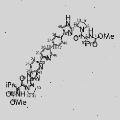 COC(=O)N[C@H](C(=O)N1CCC[C@H]1c1nc(-c2ccc(-c3ccc(-c4ccc5[nH]c([C@@H]6CCCN6C(=O)[C@@H](NC(=O)OC)C(C)C)nc5n4)nc3)cc2)c[nH]1)C(C)C